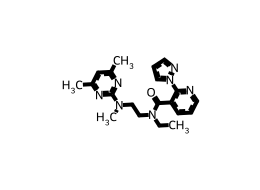 CCN(CCN(C)c1nc(C)cc(C)n1)C(=O)c1cccnc1-n1cccn1